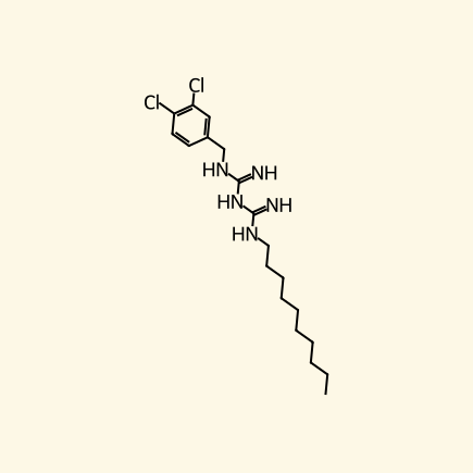 CCCCCCCCCCNC(=N)NC(=N)NCc1ccc(Cl)c(Cl)c1